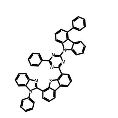 c1ccc(-c2nc(-c3cccc4c3sc3c(-c5nc6ccccc6n5-c5ccccc5)cccc34)nc(-n3c4ccccc4c4c(-c5ccccc5)cccc43)n2)cc1